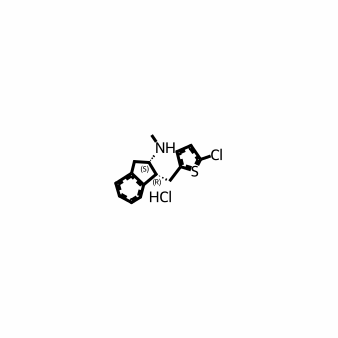 CN[C@H]1Cc2ccccc2[C@H]1Cc1ccc(Cl)s1.Cl